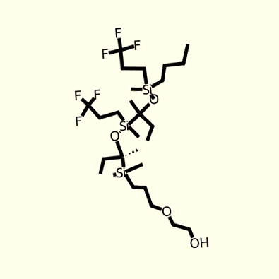 CCCC[Si](C)(CCC(F)(F)F)OC(C)(CC)[Si](C)(CCC(F)(F)F)O[C@](C)(CC)[Si](C)(C)CCCOCCO